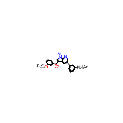 CC(=O)Nc1cccc(-c2cnc3[nH]cc(C(=O)c4cccc(OC(F)(F)F)c4)c3c2)c1